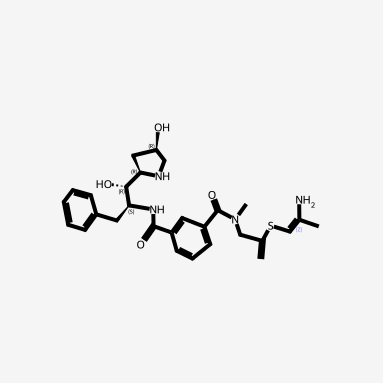 C=C(CN(C)C(=O)c1cccc(C(=O)N[C@@H](Cc2ccccc2)[C@H](O)[C@H]2C[C@@H](O)CN2)c1)S/C=C(/C)N